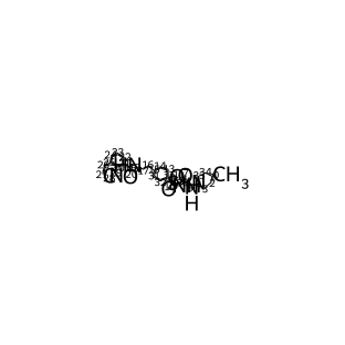 CC1CCN(NC(=O)NS(=O)(=O)c2ccc(CCNC(=O)c3cccc4cccnc34)cc2)CC1